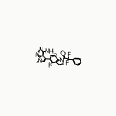 Cn1cc(-c2ccc3c(c2F)CCN3C(=O)C(F)(F)c2ccccc2)c2c(N)ncnc21